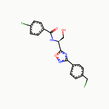 O=C(N[C@@H](CO)c1nc(-c2ccc(CF)cc2)no1)c1ccc(F)cc1